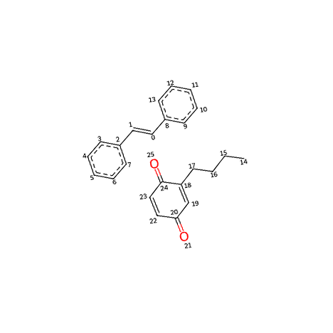 C(=Cc1ccccc1)c1ccccc1.CCCCC1=CC(=O)C=CC1=O